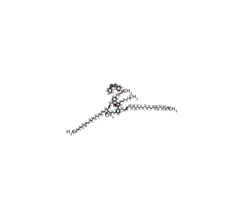 CCCCCC=CC1=C(c2cc(CCCCCC)ccc2CCC#CCCCCCCCCCCCCCCCCCCCCCC)[N+](=[N-])C(c2cc(CCCCCC)ccc2CCC#CCCCCCCCCCCCCCCCCCCCCCC)=C1.c1ccc([O][Pd][O]c2ccccc2)cc1